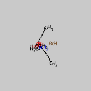 Br.CCCCCCCCC=CCCCCCCCC(=O)OC(C)C(OC(=O)CCCCCCCC=CCCCCCCCC)C(C(O)CC)C(C)(C)N